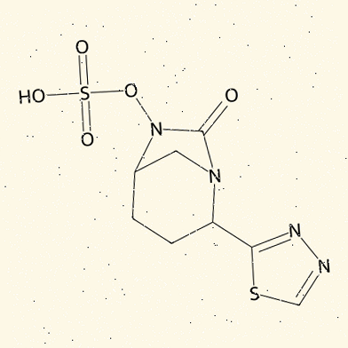 O=C1N2CC(CCC2c2nncs2)N1OS(=O)(=O)O